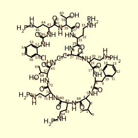 CC(C)CC1NC(=O)C(Cc2ccccc2)NC(=O)C(CCNP)NC(=O)C(NC(=O)C(CCNP)NC(=O)C(NC(=O)C(CCNP)NC(=O)Nc2ccccc2Cl)C(C)O)CCNC(=O)C(C(C)O)NC(=O)C(CCNP)NC(=O)C(CCNP)NC1=O